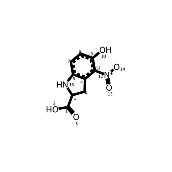 O=C(O)C1Cc2c(ccc(O)c2[N+](=O)[O-])N1